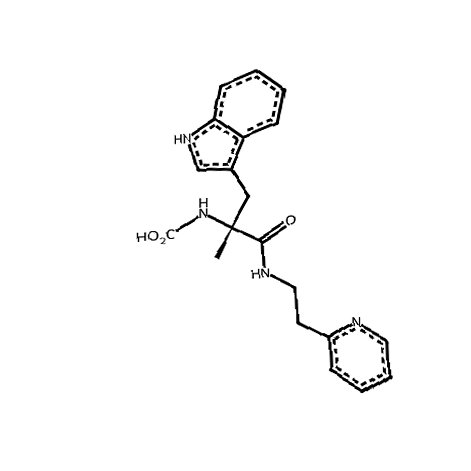 C[C@](Cc1c[nH]c2ccccc12)(NC(=O)O)C(=O)NCCc1ccccn1